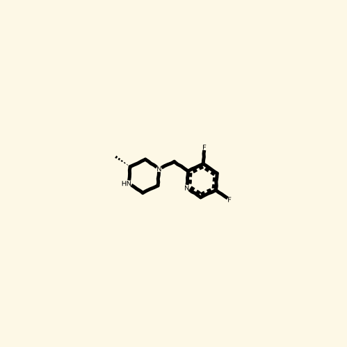 C[C@@H]1CN(Cc2ncc(F)cc2F)CCN1